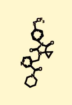 O=C(c1cnccc1CN1C(=O)N(c2ccc(SC(F)(F)F)cc2)C(=O)C12CC2)N1CCCCC1